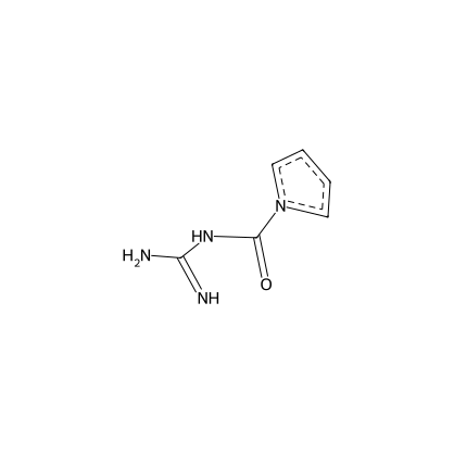 N=C(N)NC(=O)n1cccc1